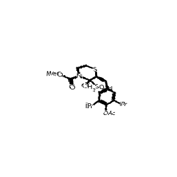 COC(=O)N1CCSC(=Cc2cc(C(C)C)c(OC(C)=O)c(C(C)C)c2)C1(C)S(=O)(=O)O